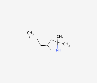 CCCC[C@@H]1CNC(C)(C)C1